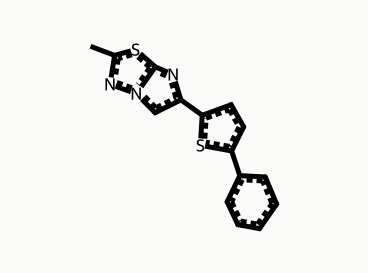 Cc1nn2cc(-c3ccc(-c4ccccc4)s3)nc2s1